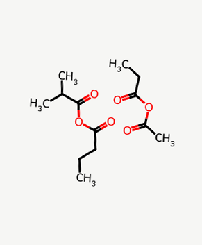 CCC(=O)OC(C)=O.CCCC(=O)OC(=O)C(C)C